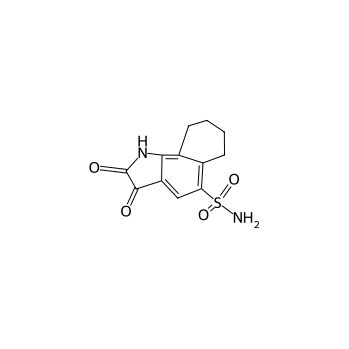 NS(=O)(=O)c1cc2c(c3c1CCCC3)NC(=O)C2=O